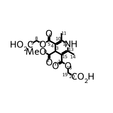 COC(=O)C1C(C(=O)OCC(=O)O)=C(C)NC(C)=C1C(=O)OCC(=O)O